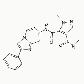 CN(C)C(=O)c1cnn(C)c1C(=O)Nc1ccn2cc(-c3ccccc3)nc2c1